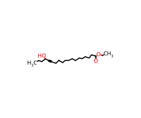 CCCC(O)C#CCCCCCCCCCCCCC(=O)OCC